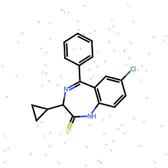 S=C1Nc2ccc(Cl)cc2C(c2ccccc2)=NC1C1CC1